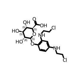 O=C(O)[C@H]1O[C@@H](Oc2ccc(NCCCl)cc2NCCCl)[C@H](O)[C@@H](O)[C@@H]1O